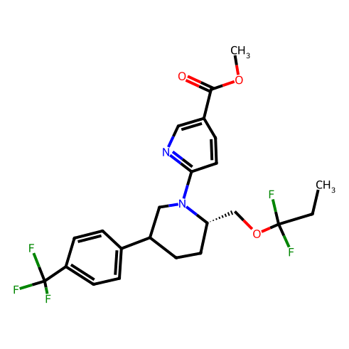 CCC(F)(F)OC[C@@H]1CCC(c2ccc(C(F)(F)F)cc2)CN1c1ccc(C(=O)OC)cn1